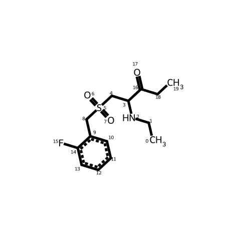 CCNC(CS(=O)(=O)Cc1ccccc1F)C(=O)CC